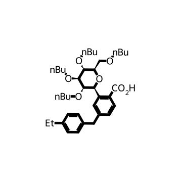 CCCCOC[C@H]1O[C@@H](c2cc(Cc3ccc(CC)cc3)ccc2C(=O)O)[C@H](OCCCC)[C@@H](OCCCC)[C@@H]1OCCCC